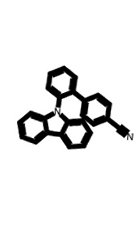 N#Cc1ccc(-c2ccccc2-n2c3ccccc3c3ccccc32)cc1